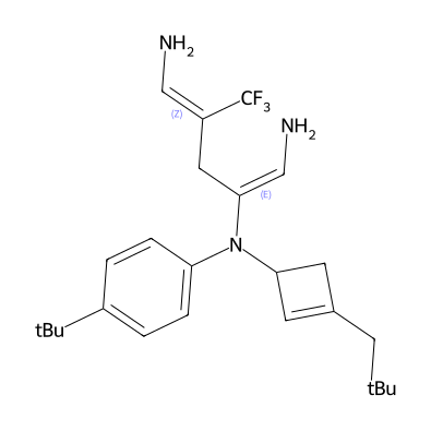 CC(C)(C)CC1=CC(N(/C(=C/N)C/C(=C/N)C(F)(F)F)c2ccc(C(C)(C)C)cc2)C1